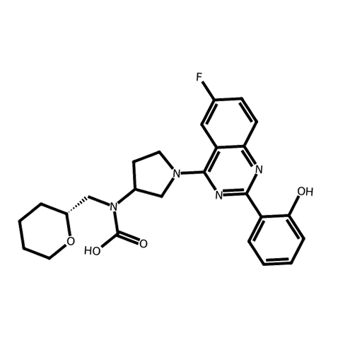 O=C(O)N(C[C@H]1CCCCO1)C1CCN(c2nc(-c3ccccc3O)nc3ccc(F)cc23)C1